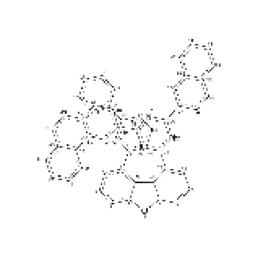 C1=CC2Oc3cccc(-c4cccc(-c5ccccc5)c4)c3C2C(c2nc(-c3ccc4ccccc4c3)nc(-c3ccc4ccc5ccccc5c4c3)n2)=C1